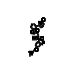 COc1cccc(-c2cccc3c2OC(CNC(=O)c2ccc(OCCN(C)C)cc2F)CO3)n1